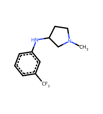 CN1CCC(Nc2cccc(C(F)(F)F)c2)C1